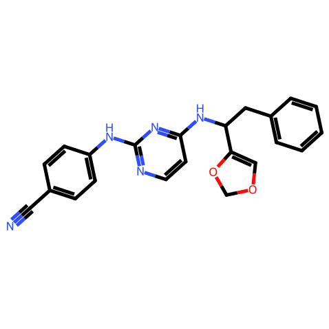 N#Cc1ccc(Nc2nccc(NC(Cc3ccccc3)C3=COCO3)n2)cc1